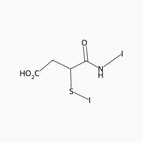 O=C(O)CC(SI)C(=O)NI